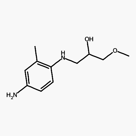 COCC(O)CNc1ccc(N)cc1C